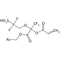 C=CC(=O)OC(OCC(F)(F)S(=O)(=O)O)(C(=O)OCC(C)=O)C(F)(F)F